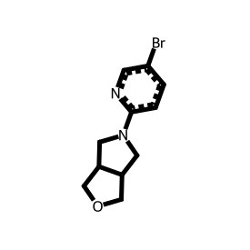 Brc1ccc(N2CC3COCC3C2)nc1